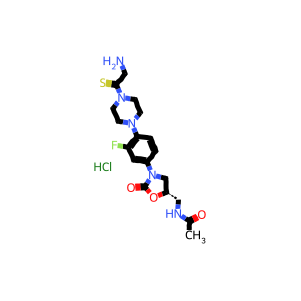 CC(=O)NC[C@H]1CN(c2ccc(N3CCN(C(=S)CN)CC3)c(F)c2)C(=O)O1.Cl